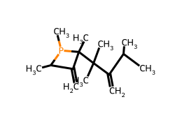 C=C(C(C)C)C(C)(C)C1(C)C(=C)C(C)P1C